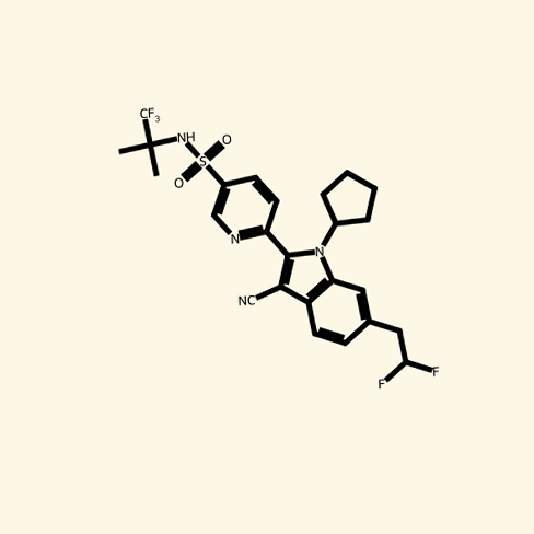 CC(C)(NS(=O)(=O)c1ccc(-c2c(C#N)c3ccc(CC(F)F)cc3n2C2CCCC2)nc1)C(F)(F)F